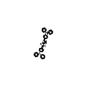 c1ccc(N(c2ccccc2)c2ccc(-c3nc4nc(-c5ccc(N(c6ccccc6)c6ccccc6)cc5)sc4s3)cc2)cc1